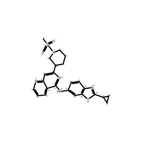 CS(=O)(=O)N1CCCC(c2cc3ncccc3c(Nc3ccc4nc(C5CC5)sc4c3)n2)C1